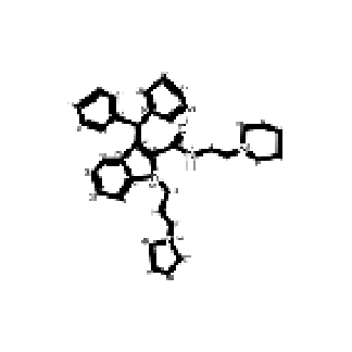 O=C(NCCN1CCCCC1)c1c(C(c2ccccc2)c2ccccc2)c2ccccc2n1CCCN1CCCC1